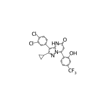 O=c1cc(-c2ccc(C(F)(F)F)cc2O)n2nc(C3CC3)c(-c3ccc(Cl)c(Cl)c3)c2[nH]1